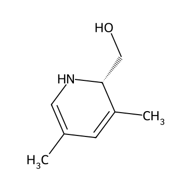 CC1=CN[C@H](CO)C(C)=C1